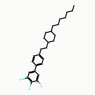 CCCCCCCC1CCC(CCc2ccc(-c3cc(F)c(F)c(F)c3)cc2)CC1